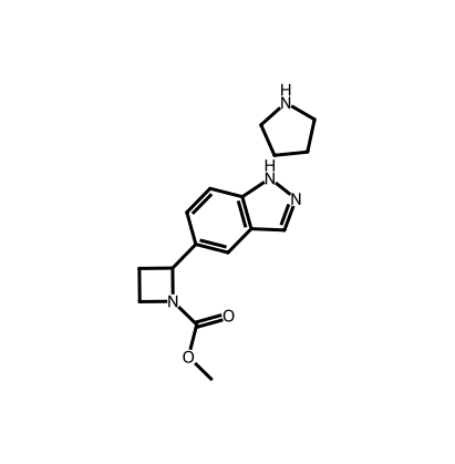 C1CCNC1.COC(=O)N1CCC1c1ccc2[nH]ncc2c1